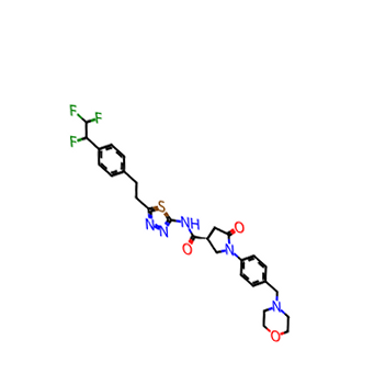 O=C(Nc1nnc(CCc2ccc(C(F)C(F)F)cc2)s1)[C@H]1CC(=O)N(c2ccc(CN3CCOCC3)cc2)C1